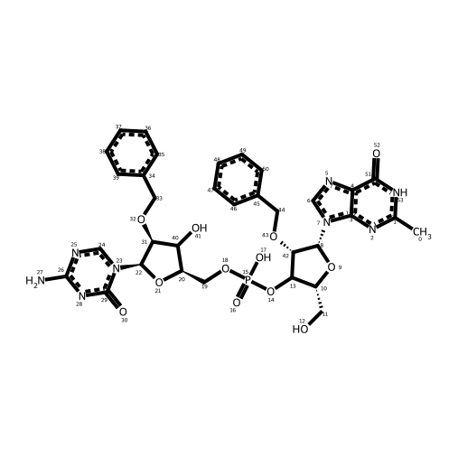 Cc1nc2c(ncn2[C@@H]2O[C@H](CO)C(OP(=O)(O)OC[C@H]3O[C@@H](n4cnc(N)nc4=O)[C@@H](OCc4ccccc4)C3O)[C@@H]2OCc2ccccc2)c(=O)[nH]1